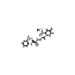 COc1ccccc1CN(C)C(=O)CCCSc1ccc(F)cc1C(=O)O